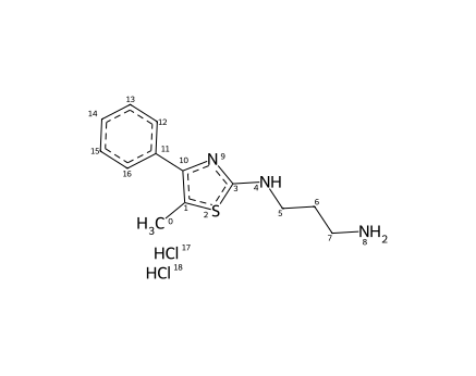 Cc1sc(NCCCN)nc1-c1ccccc1.Cl.Cl